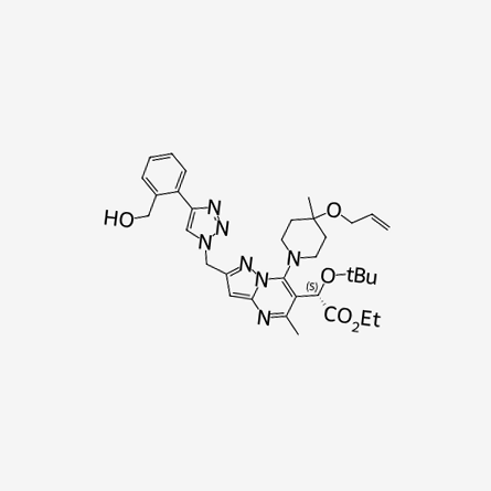 C=CCOC1(C)CCN(c2c([C@H](OC(C)(C)C)C(=O)OCC)c(C)nc3cc(Cn4cc(-c5ccccc5CO)nn4)nn23)CC1